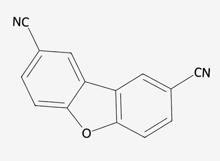 N#Cc1ccc2oc3ccc(C#N)cc3c2c1